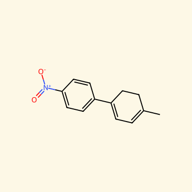 CC1=CC=C(c2ccc([N+](=O)[O-])cc2)CC1